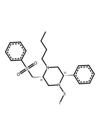 CCCCN1C[C@H](c2ccccc2)N(SI)C[C@@H]1CS(=O)(=O)c1ccccc1